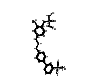 NS(=O)(=O)c1cccc(-c2ccc(CSCc3ccc(CP(=O)(OF)OF)c(Br)c3)cc2)c1